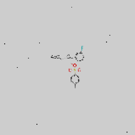 CC(=O)OC[C@@H]1C[C@@]1(COS(=O)(=O)c1ccc(C)cc1)c1cccc(F)c1